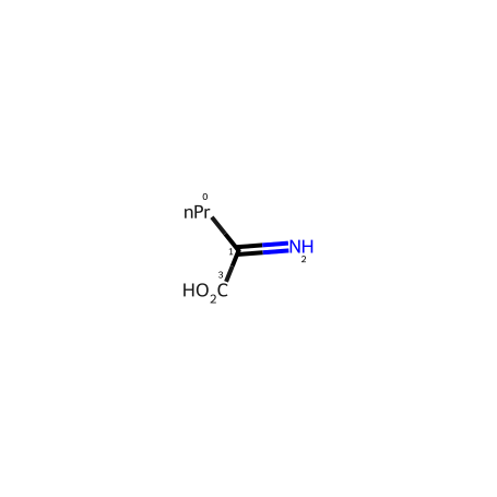 CCCC(=N)C(=O)O